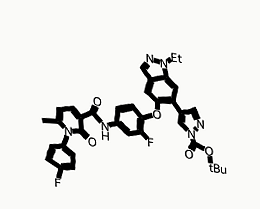 CCn1ncc2cc(Oc3ccc(NC(=O)c4ccc(C)n(-c5ccc(F)cc5)c4=O)cc3F)c(-c3cnn(C(=O)OC(C)(C)C)c3)cc21